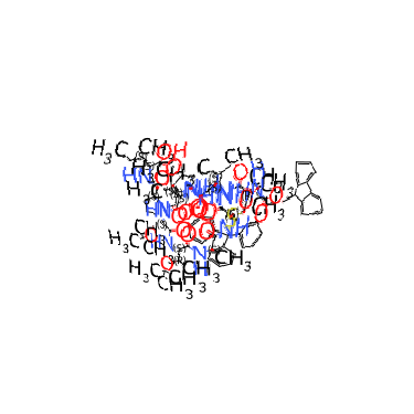 CC[C@H](C)[C@H](NC(=O)[C@@H]1CCCN1C(=O)[C@@H]1CCCN1C(=O)[C@@H](NC(=O)[C@H](COC(C)(C)C)NC(=O)[C@H](C)NC(=O)[C@@H](NC(=O)[C@H](COC(C)(C)C)NC(=O)[C@@H](NC(=O)CNC(=O)[C@H](CSC(c1ccccc1)(c1ccccc1)c1ccccc1)NC(=O)OCC1c2ccccc2-c2ccccc21)[C@@H](C)CC)[C@@H](C)OC(C)(C)C)[C@@H](C)CC)C(=O)O